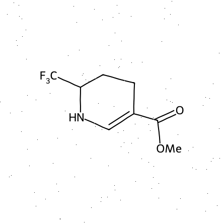 COC(=O)C1=CNC(C(F)(F)F)CC1